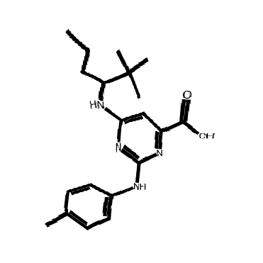 CCCC(Nc1cc(C(=O)O)nc(Nc2ccc(C)cc2)n1)C(C)(C)C